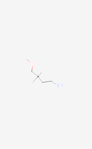 COCC(C)(C)CCN